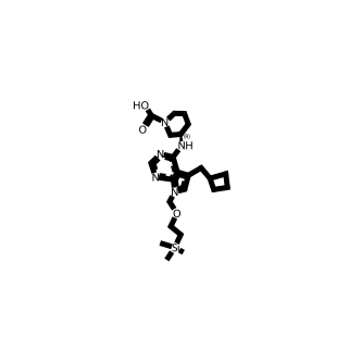 C[Si](C)(C)CCOCn1cc(CC2CCC2)c2c(N[C@@H]3CCCN(C(=O)O)C3)ncnc21